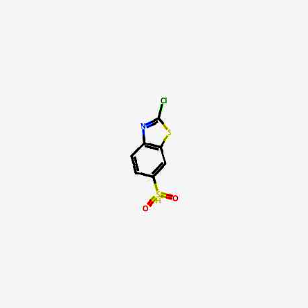 O=[SH](=O)c1ccc2nc(Cl)sc2c1